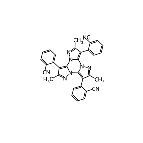 Cc1nn2c(c1-c1ccccc1C#N)n1nc(C)c(-c3ccccc3C#N)c1n1nc(C)c(-c3ccccc3C#N)c21